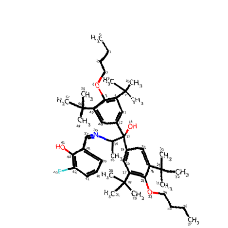 CCCCOc1c(C(C)(C)C)cc(C(O)(c2cc(C(C)(C)C)c(OCCCC)c(C(C)(C)C)c2)C(C)N=Cc2cccc(F)c2O)cc1C(C)(C)C